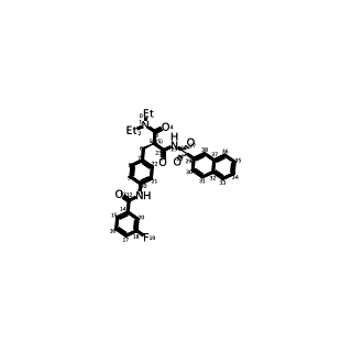 CCN(CC)C(=O)[C@H](Cc1ccc(NC(=O)c2cccc(F)c2)cc1)C(=O)NS(=O)(=O)c1ccc2ccccc2c1